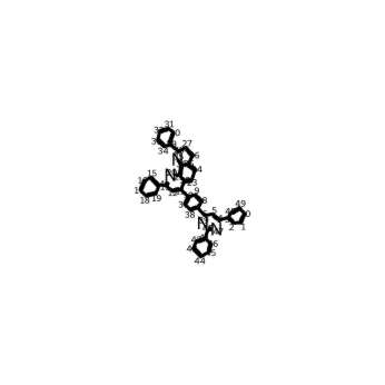 c1ccc(-c2cc(-c3ccc(-c4cc(-c5ccccc5)nc5c4ccc4ccc(-c6ccccc6)nc45)cc3)nc(-c3ccccc3)n2)cc1